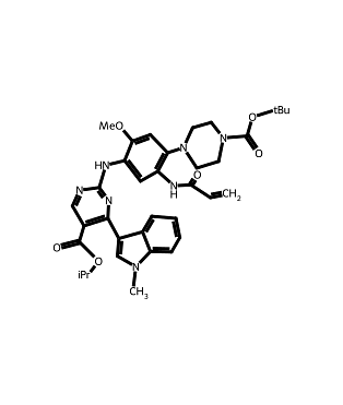 C=CC(=O)Nc1cc(Nc2ncc(C(=O)OC(C)C)c(-c3cn(C)c4ccccc34)n2)c(OC)cc1N1CCN(C(=O)OC(C)(C)C)CC1